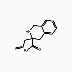 C=CCC1(C(=O)O)Cc2ccccc2CN1